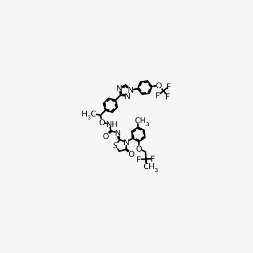 Cc1ccc(OCC(C)(F)F)c(N2C(=O)CS/C2=N\C(=O)NOC(C)c2ccc(-c3ncn(-c4ccc(OC(F)(F)F)cc4)n3)cc2)c1